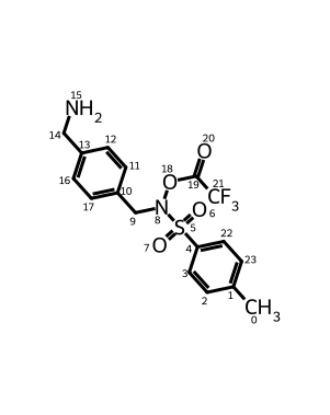 Cc1ccc(S(=O)(=O)N(Cc2ccc(CN)cc2)OC(=O)C(F)(F)F)cc1